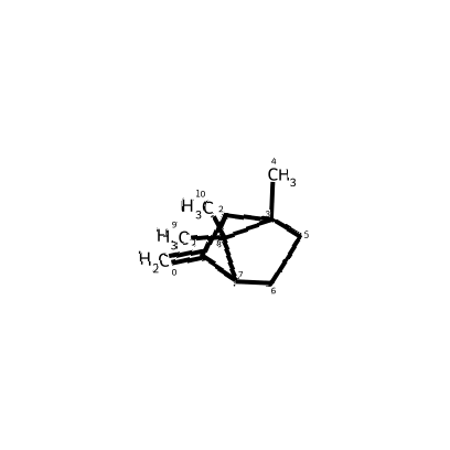 C=C1CC2(C)CC[C]1C2(C)C